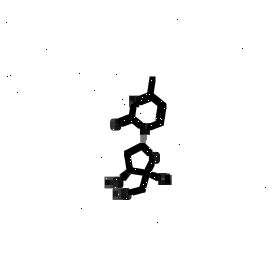 CC[C@]1(CO)O[C@@H](n2ccc(C)nc2=O)C[C@@H]1O